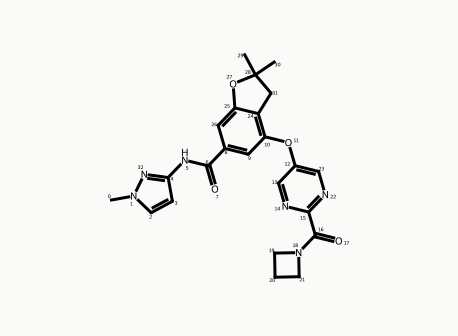 Cn1ccc(NC(=O)c2cc(Oc3cnc(C(=O)N4CCC4)nc3)c3c(c2)OC(C)(C)C3)n1